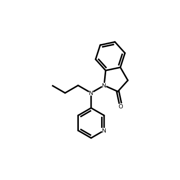 CCCN(c1cccnc1)N1C(=O)Cc2ccccc21